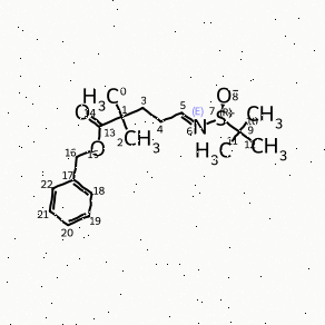 CC(C)(CC/C=N/[S@@+]([O-])C(C)(C)C)C(=O)OCc1ccccc1